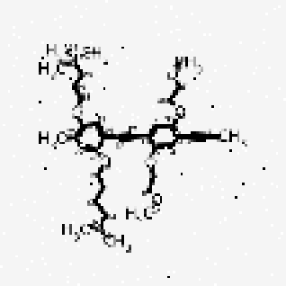 CC#Cc1cc(OCCOC)c(C#Cc2cc(OCCC[N+](C)(C)C)c(C)cc2OCCCCN(C)C)cc1OCCOC